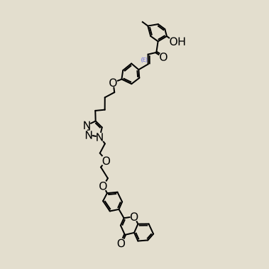 Cc1ccc(O)c(C(=O)/C=C/c2ccc(OCCCCc3cn(CCOCCOc4ccc(-c5cc(=O)c6ccccc6o5)cc4)nn3)cc2)c1